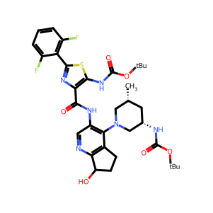 C[C@@H]1C[C@H](NC(=O)OC(C)(C)C)CN(c2c(NC(=O)c3nc(-c4c(F)cccc4F)sc3NC(=O)OC(C)(C)C)cnc3c2CCC3O)C1